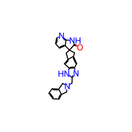 O=C1Nc2ncccc2C12Cc1cc3nc(CN4Cc5ccccc5C4)[nH]c3cc1C2